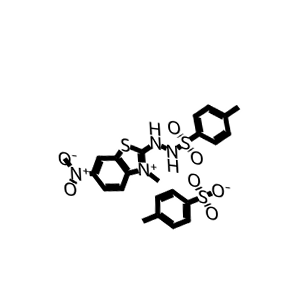 Cc1ccc(S(=O)(=O)NNc2sc3cc([N+](=O)[O-])ccc3[n+]2C)cc1.Cc1ccc(S(=O)(=O)[O-])cc1